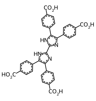 O=C(O)c1ccc(-c2nc(-c3nc(-c4ccc(C(=O)O)cc4)c(-c4ccc(C(=O)O)cc4)[nH]3)[nH]c2-c2ccc(C(=O)O)cc2)cc1